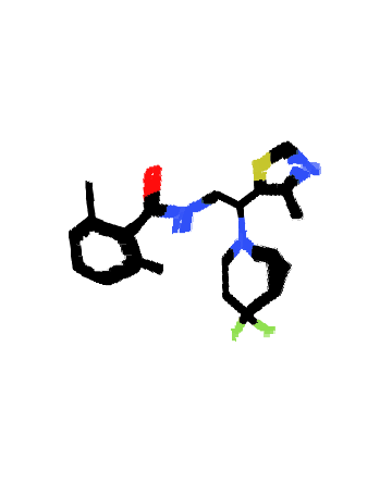 Cc1cccc(C)c1C(=O)NCC(c1scnc1C)N1CCC(F)(F)CC1